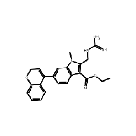 CCOC(=O)c1c(CNC(=N)N)n(C)c2cc(C3=CCOc4ccccc43)ccc12